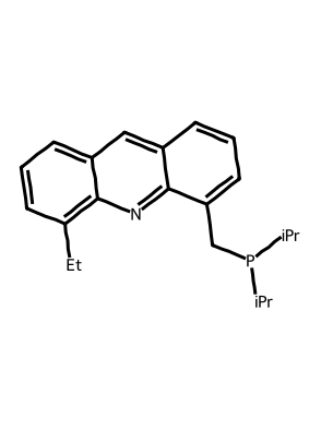 CCc1cccc2cc3cccc(CP(C(C)C)C(C)C)c3nc12